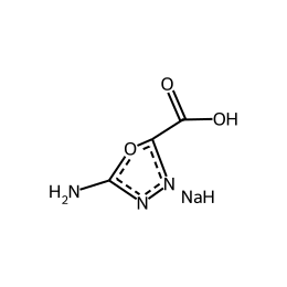 Nc1nnc(C(=O)O)o1.[NaH]